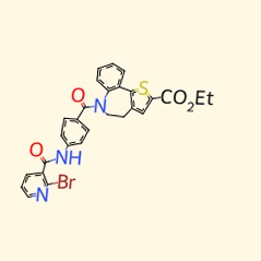 CCOC(=O)c1cc2c(s1)-c1ccccc1N(C(=O)c1ccc(NC(=O)c3cccnc3Br)cc1)CC2